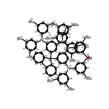 CCC(C)c1cc(C(C)CC)cc(N(c2cc(C(C)CC)cc(C(C)CC)c2)c2cc(N(c3cc(C(C)CC)cc(C(C)CC)c3)c3cc(C(C)CC)cc(C(C)CC)c3)cc(C3(c4cc(N(c5cc(C(C)CC)cc(C(C)CC)c5)c5cc(C(C)CC)cc(C(C)CC)c5)cc(N(c5cc(C(C)CC)cc(C(C)CC)c5)c5cc(C(C)CC)cc(C(C)CC)c5)c4)c4ccccc4-c4ccccc43)c2)c1